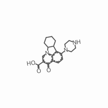 O=C(O)c1cn2c3c(c(N4CCNCC4)ccc3c1=O)C1CCCCC12